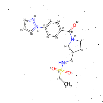 C=CS(=O)(=O)NCC1CCN(C(=O)c2ccc(-n3cccn3)cc2)C1